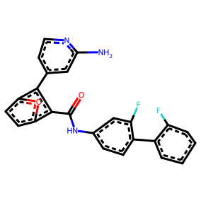 Nc1cc(-c2c(C(=O)Nc3ccc(-c4ccccc4F)c(F)c3)c3ccc2o3)ccn1